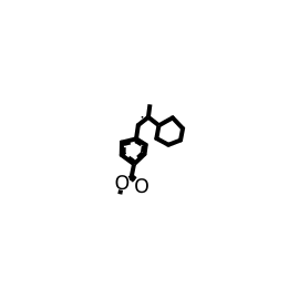 COC(=O)c1ccc(C[C](C)C2CCCCC2)cc1